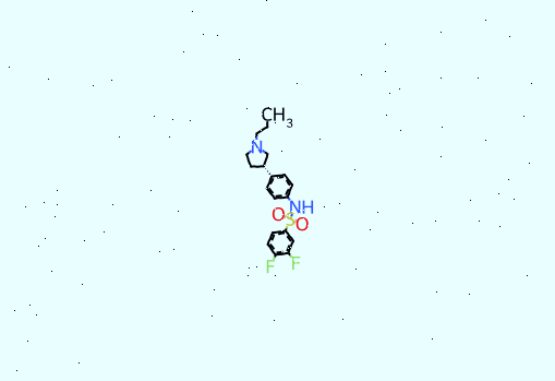 CCCN1CC[C@@H](c2ccc(NS(=O)(=O)c3ccc(F)c(F)c3)cc2)C1